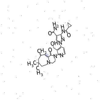 C=C1/C=C2/C(=O)N(c3nccc(-n4cc(C(N)=O)c(NC(=O)C5CC5)n4)c3CO)CCN2CCC(C)(C)C1